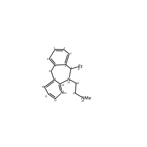 CCC1c2ccccc2Cc2cccnc2N1CCNC